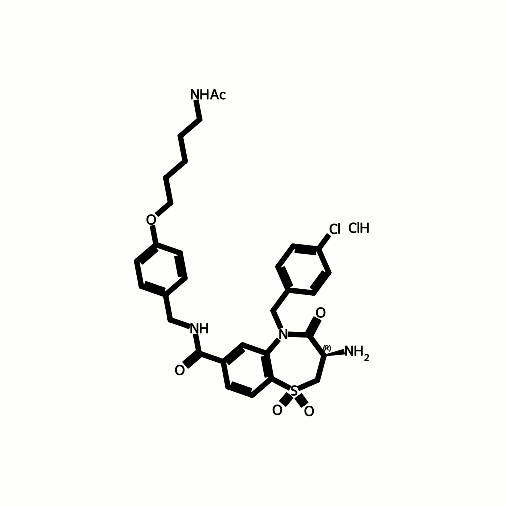 CC(=O)NCCCCCOc1ccc(CNC(=O)c2ccc3c(c2)N(Cc2ccc(Cl)cc2)C(=O)[C@@H](N)CS3(=O)=O)cc1.Cl